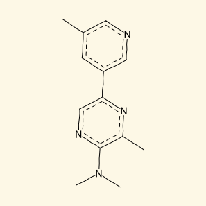 Cc1cncc(-c2cnc(N(C)C)c(C)n2)c1